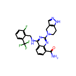 NC(=O)c1cccc2c(NCc3c(F)cccc3C(F)(F)F)nc(N3CCc4[nH]ncc4C3)nc12